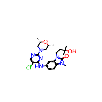 C[C@@H]1CN(c2ncc(Cl)c(Nc3ccc4c(c3)n(CCC(C)(C)O)c(=O)n4C)n2)C[C@H](C)O1